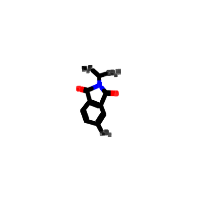 CC(C(=O)O)N1C(=O)c2ccc([N+](=O)[O-])cc2C1=O